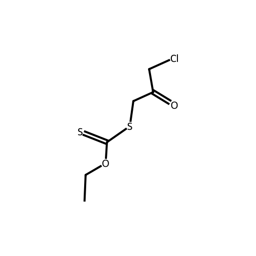 CCOC(=S)SCC(=O)CCl